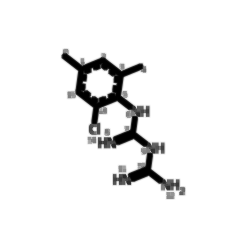 Cc1cc(C)c(NC(=N)NC(=N)N)c(Cl)c1